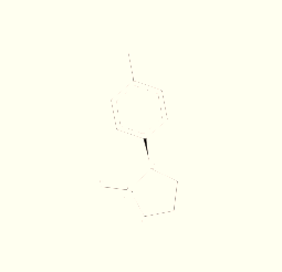 Cc1ccc([C@H]2CCCN2C)cc1